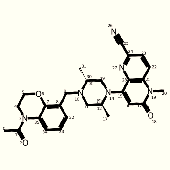 CC(=O)N1CCOc2c(CN3C[C@H](C)N(c4cc(=O)n(C)c5ccc(C#N)nc45)C[C@H]3C)cccc21